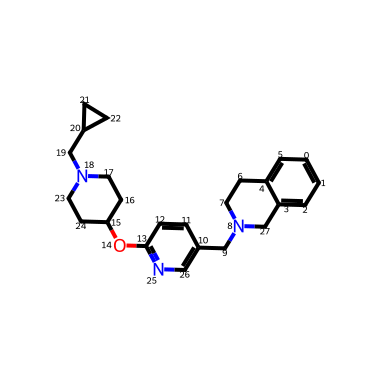 c1ccc2c(c1)CCN(Cc1ccc(OC3CCN(CC4CC4)CC3)nc1)C2